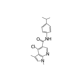 Cc1cn(C)c2ncc(C(=O)Nc3ccc(C(C)C)cc3)c(Cl)c12